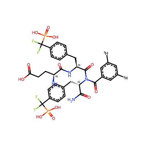 [3H]c1cc([3H])cc(C(=O)N(C(=O)[C@H](Cc2ccc(C(F)(F)P(=O)(O)O)cc2)NC(=O)[C@@H](N)CCC(=O)O)[C@@H](Cc2ccc(C(F)(F)P(=O)(O)O)cc2)C(N)=O)c1